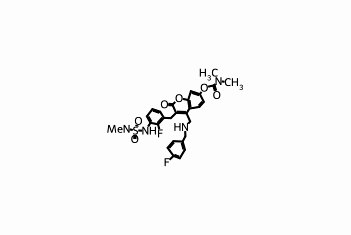 CNS(=O)(=O)Nc1cccc(Cc2c(CNCc3ccc(F)cc3)c3ccc(OC(=O)N(C)C)cc3oc2=O)c1F